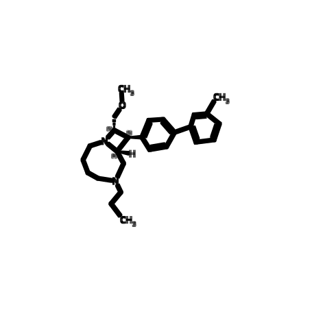 CCCN1CCCCN2[C@H](COC)[C@@H](c3ccc(-c4cccc(C)c4)cc3)[C@@H]2C1